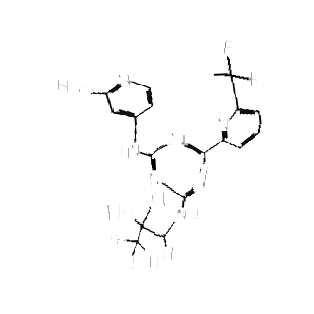 [2H]C(Nc1nc(Nc2ccnc(C)c2)nc(-c2cccc(C(F)(F)F)n2)n1)C(C)(O)C([2H])([2H])[2H]